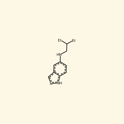 CCC(CC)CNc1ccc2[nH]ncc2c1